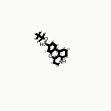 CC(C)(C)C(C)(C)OBc1ccc2c(c1)OC1=C3C2=CC=CC3NCC1